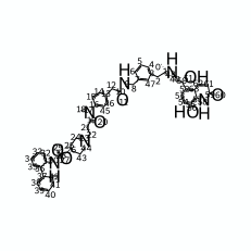 C[C@@H](Cc1cccc(CNC(=O)Cc2ccc(N(C)C(=O)CCN3CCC(OC(=O)Nc4ccccc4-c4ccccc4)CC3)cc2)c1)NC[C@H](O)c1ccc(O)c2[nH]c(=O)ccc12